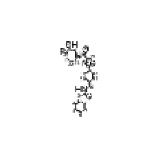 O=C(Cc1ccccc1)NCc1ccc(-c2nc(C(=O)N3CCC[C@H](F)[C@@H](O)C3)co2)cc1